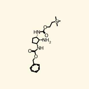 C[Si](C)(C)CCOC(=O)N[C@H]1CC[C@H](NC(=O)OCc2ccccc2)[C@@H]1N